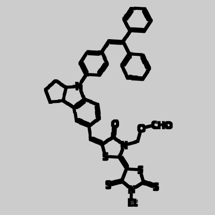 CCN1C(=S)S/C(=c2/s/c(=C/c3ccc4c(c3)C3CCCC3N4c3ccc(C=C(c4ccccc4)c4ccccc4)cc3)c(=O)n2COC=O)C1=S